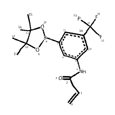 C=CC(=O)Nc1cc(B2OC(C)(C)C(C)(C)O2)cc(C(F)(F)F)c1